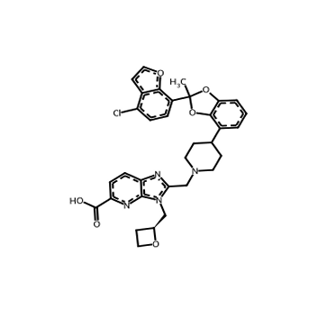 CC1(c2ccc(Cl)c3ccoc23)Oc2cccc(C3CCN(Cc4nc5ccc(C(=O)O)nc5n4C[C@@H]4CCO4)CC3)c2O1